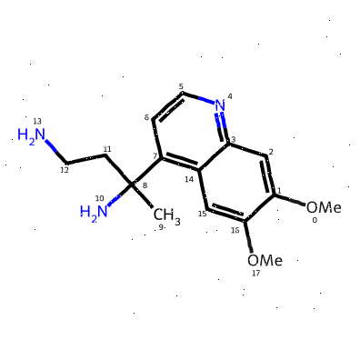 COc1cc2nccc(C(C)(N)CCN)c2cc1OC